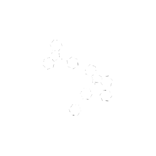 c1ccc(-c2ccc(-n3c4ccccc4c4ccc(-c5ccc(-n6c7ccccc7c7ccccc76)cc5)cc43)c(-c3ccccc3)c2)cc1